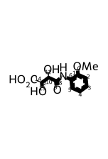 COc1ccccc1NC(=O)[C@@H](O)[C@H](O)C(=O)O